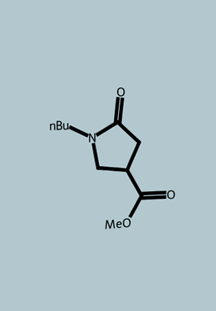 CCCCN1CC(C(=O)OC)CC1=O